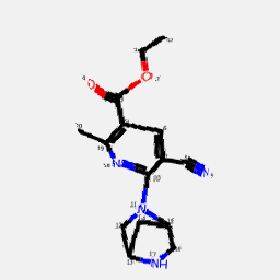 CCOC(=O)c1cc(C#N)c(N2CC3CC2CN3)nc1C